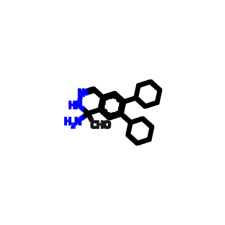 NC1(C=O)NN=Cc2cc(C3CCCCC3)c(C3CCCCC3)cc21